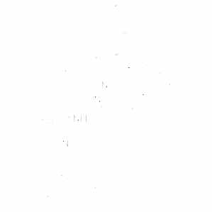 Cc1c(CNC(=O)NCC2C3CC4CC(C3)CC2C4)nn(-c2ccc(Cl)cc2Cl)c1-c1ccc(Cl)cc1